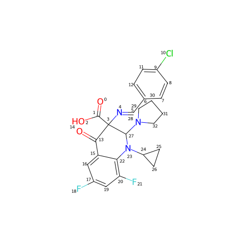 O=C(O)C1(N=Cc2ccc(Cl)cc2)C(=O)c2cc(F)cc(F)c2N(C2CC2)C1N1CCCC1